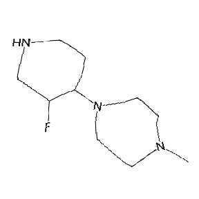 CN1CCN(C2CCNCC2F)CC1